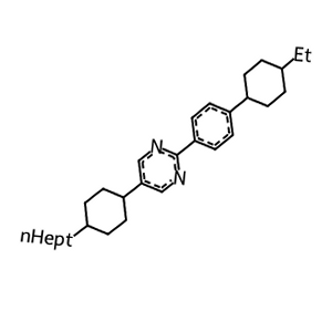 CCCCCCCC1CCC(c2cnc(-c3ccc(C4CCC(CC)CC4)cc3)nc2)CC1